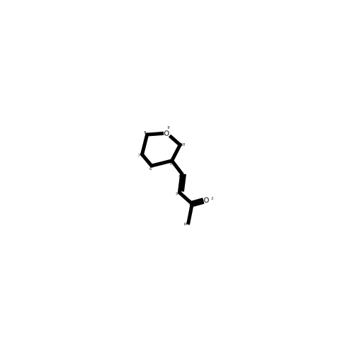 CC(=O)C=CC1CCCOC1